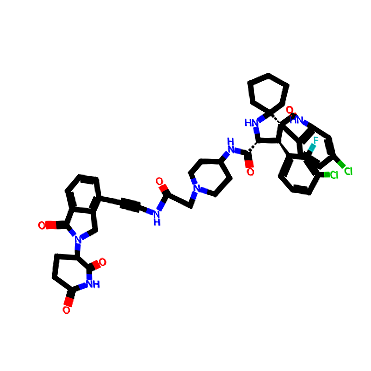 O=C(CN1CCC(NC(=O)[C@@H]2NC3(CCCCC3)[C@@]3(C(=O)Nc4cc(Cl)ccc43)[C@H]2c2cccc(Cl)c2F)CC1)NC#Cc1cccc2c1CN(C1CCC(=O)NC1=O)C2=O